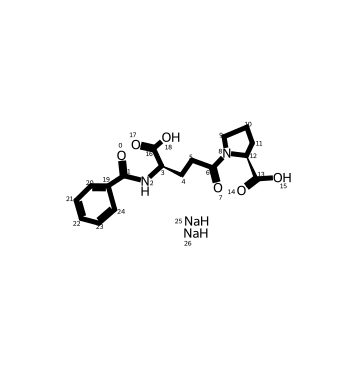 O=C(N[C@H](CCC(=O)N1CCC[C@H]1C(=O)O)C(=O)O)c1ccccc1.[NaH].[NaH]